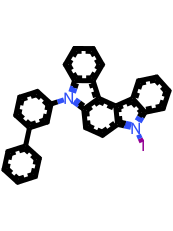 In1c2ccccc2c2c3c4ccccc4n(-c4cccc(-c5ccccc5)c4)c3ccc21